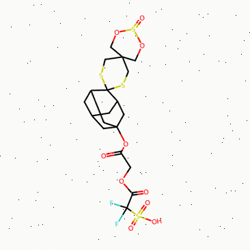 O=C(COC(=O)C(F)(F)S(=O)(=O)O)OC12CC3CC(C1)C1(SCC4(COS(=O)OC4)CS1)C(C3)C2